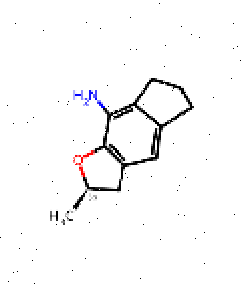 C[C@@H]1Cc2cc3c(c(N)c2O1)CCC3